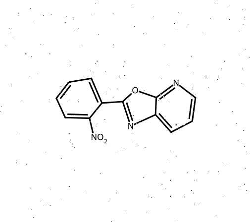 O=[N+]([O-])c1ccccc1-c1nc2cccnc2o1